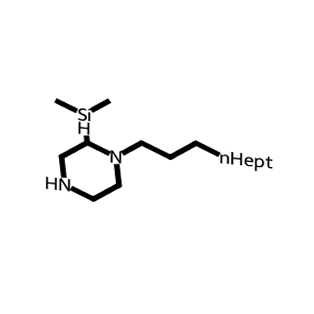 CCCCCCCCCCN1CCNCC1[SiH](C)C